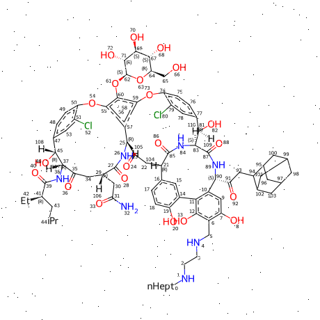 CCCCCCCNCCNCc1c(O)cc2c(c1O)-c1cc(ccc1O)[C@H]1CC(=O)[C@@H]3NC(=O)[C@H](CC(N)=O)CC(=O)[C@H](NC(=O)[C@H](CC)CC(C)C)[C@H](O)c4ccc(c(Cl)c4)Oc4cc3cc(c4O[C@@H]3O[C@H](CO)[C@@H](O)[C@H](O)[C@H]3O)Oc3ccc(cc3Cl)[C@@H](O)[C@H](NC1=O)C(=O)N[C@@H]2C(=O)CC1C2CC3CC(C2)CC1C3